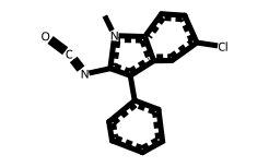 Cn1c(N=C=O)c(-c2ccccc2)c2cc(Cl)ccc21